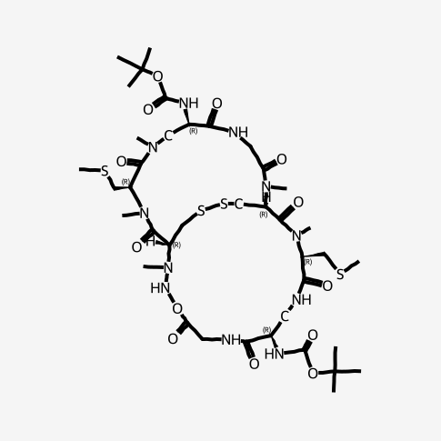 CSC[C@H]1C(=O)N(C)C[C@@H](NC(=O)OC(C)(C)C)C(=O)NCC(=O)N(C)[C@H]2CSSC[C@@H](C(=O)N1C)N(C)NOC(=O)CNC(=O)[C@H](NC(=O)OC(C)(C)C)CNC(=O)[C@H](CSC)N(C)C2=O